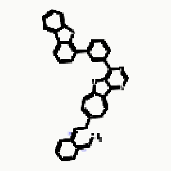 C/C=c1/cccc/c1=C/CC1=CC=c2oc3c(-c4cccc(-c5cccc6c5sc5ccccc56)c4)ncnc3c2=CC1